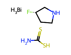 F[C@H]1CCNC1.NC(=S)S.[BiH3]